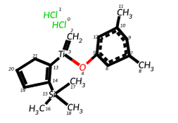 Cl.Cl.[CH2]=[Ti]([O]c1cc(C)cc(C)c1)[C]1=C([Si](C)(C)C)C=CC1